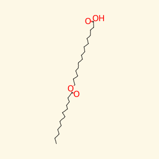 CCCCCCCCCCCCC(=O)OCCCCCCCCCCCCCCCC(=O)O